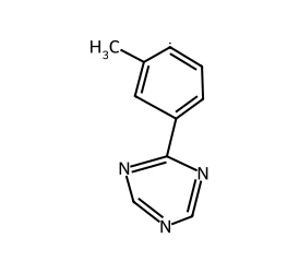 Cc1[c]ccc(-c2ncncn2)c1